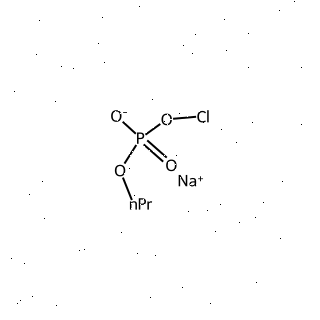 CCCOP(=O)([O-])OCl.[Na+]